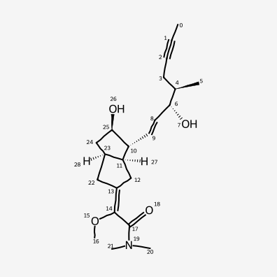 CC#CC[C@@H](C)[C@H](O)/C=C/[C@@H]1[C@H]2C/C(=C(/OC)C(=O)N(C)C)C[C@H]2C[C@H]1O